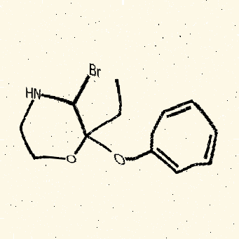 CCC1(Oc2ccccc2)OCCNC1Br